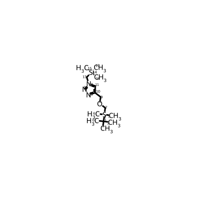 CC(C)(C)S(C)(C)COCc1cn(C[Si](C)(C)C)nn1